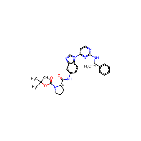 C[C@H](Nc1nccc(-n2cnc3cc(NC(=O)[C@H]4CCCN4C(=O)OC(C)(C)C)ccc32)n1)c1ccccc1